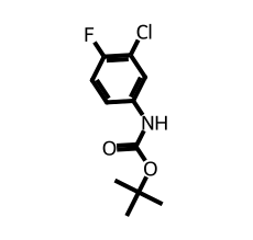 CC(C)(C)OC(=O)Nc1ccc(F)c(Cl)c1